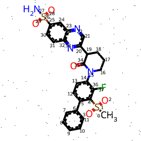 CS(=O)(=O)c1c(-c2ccccc2)ccc(N2CCCC(c3cnc4cc(S(N)(=O)=O)ccc4n3)C2=O)c1F